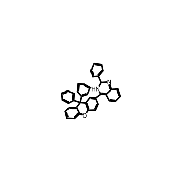 c1ccc(C2N=c3ccccc3=C(c3ccc4c(c3)C(c3ccccc3)(c3ccccc3)c3ccccc3O4)N2)cc1